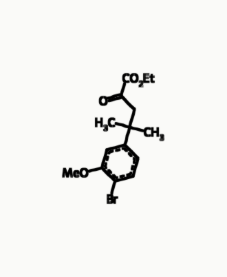 CCOC(=O)C(=O)CC(C)(C)c1ccc(Br)c(OC)c1